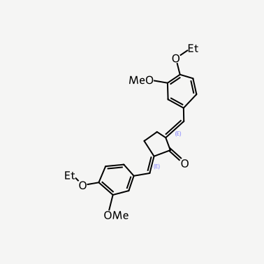 CCOc1ccc(/C=C2\CC/C(=C\c3ccc(OCC)c(OC)c3)C2=O)cc1OC